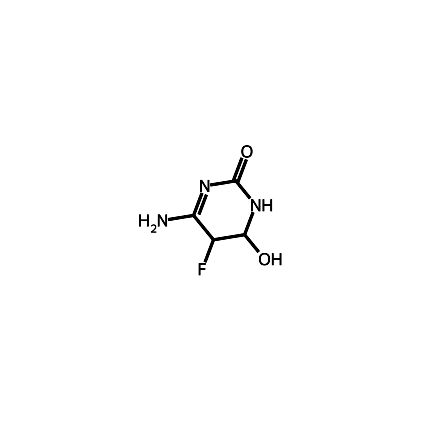 NC1=NC(=O)NC(O)C1F